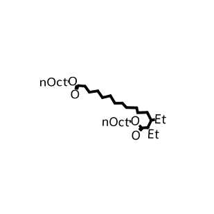 CCCCCCCCOC(=O)CCCCCCCCCCCC(CC)C(CC)C(=O)OCCCCCCCC